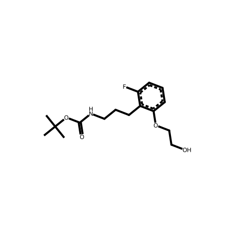 CC(C)(C)OC(=O)NCCCc1c(F)cccc1OCCO